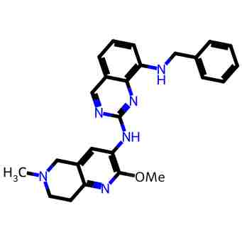 COc1nc2c(cc1Nc1ncc3cccc(NCc4ccccc4)c3n1)CN(C)CC2